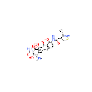 CN(C)[C@@H]1C(O)=C(C(N)=O)C(=O)[C@@]2(O)C(O)=C3C(=O)c4c(ccc(NC(=O)CC5CCSNC5C5CC5)c4O)CC3CC12